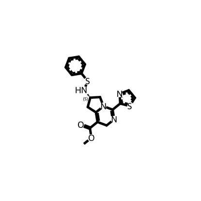 COC(=O)C1=C2C[C@H](NSc3ccccc3)CN2C(c2nccs2)=NC1